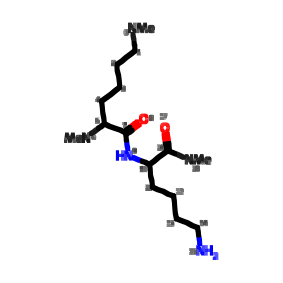 CNCCCCC(NC)C(=O)NC(CCCCN)C(=O)NC